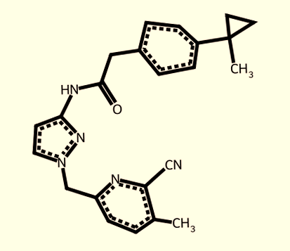 Cc1ccc(Cn2ccc(NC(=O)Cc3ccc(C4(C)CC4)cc3)n2)nc1C#N